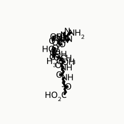 CC(C)(COP(=O)(O)OP(=O)(O)OC[C@H]1O[C@@H](n2cnc3c(N)ncnc32)[C@H](O)[C@@H]1OP(=O)(O)O)C(O)C(=O)NCCC(=O)NCCSC(=O)CCC(=O)O